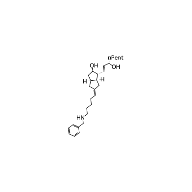 CCCCC[C@H](O)/C=C/[C@@H]1[C@H]2C/C(=C/CCCCNCc3ccccc3)C[C@H]2C[C@H]1O